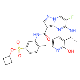 Cc1ccc(S(=O)(=O)OC2CCC2)cc1NC(=O)c1cnn2cc(F)c(N[C@H](C)c3cccnc3O)nc12